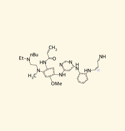 C=CC(=O)Nc1cc(Nc2cc(Nc3ccccc3N/C=C\C=N)ncn2)c(OC)cc1N(C)CCN(CC)CCCC